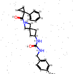 COc1ccc(CNC(=O)NC2CC3(C2)CN(C(=O)C2(c4ccccc4)CC2)C3)cc1